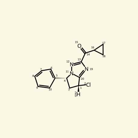 [2H][C@@]1(Cl)C[C@H](c2ccccc2)n2nc(C(=O)C3CC3)nc21